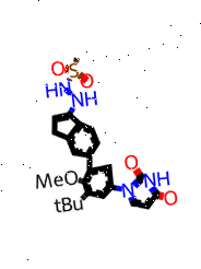 COc1c(-c2ccc3c(c2)CC=C3NNS(C)(=O)=O)cc(-n2ccc(=O)[nH]c2=O)cc1C(C)(C)C